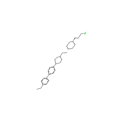 CCc1ccc(-c2ccc(C3CCC(CC[C@H]4CC[C@H](CCCF)CC4)CC3)cc2)cc1